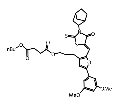 CCCCOC(=O)CCC(=O)OCCCc1cc(-c2cc(OC)cc(OC)c2)oc1/C=C1\SC(=S)N(C2CC3CCC2C3)C1=O